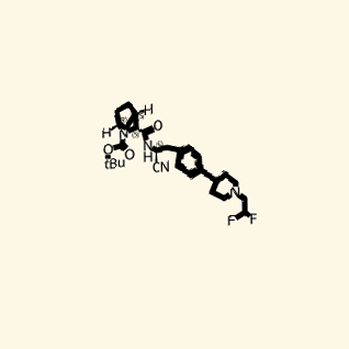 CC(C)(C)OC(=O)N1[C@@H]2CC[C@@H](C2)[C@H]1C(=O)N[C@H](C#N)Cc1ccc(C2CCN(CC(F)F)CC2)cc1